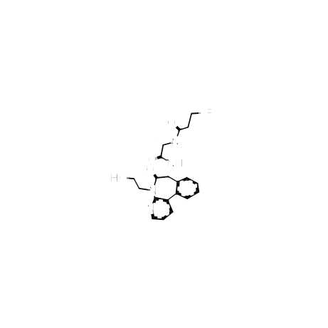 C[C@H](NC(=O)CCC(F)(F)F)C(=O)N[C@H]1C(=O)N(CCO)c2ncccc2-c2ccccc21